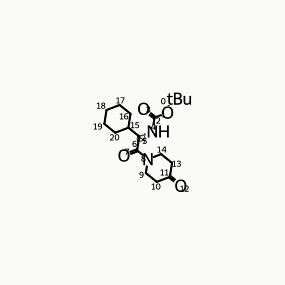 CC(C)(C)OC(=O)N[C@H](C(=O)N1CCC(=O)CC1)C1CCCCC1